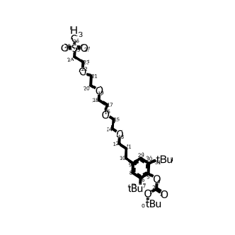 CC(C)(C)OC(=O)Oc1c(C(C)(C)C)cc(CCCOCCOCCOCCOCCS(C)(=O)=O)cc1C(C)(C)C